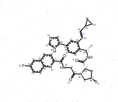 C[C@H](NC(=O)[C@@H]1C[C@@H](F)CN1C(=O)CNC(=O)c1ccc2cc(F)ccc2n1)c1ccc(-c2cnc[nH]2)cc1/C=C/C1CC1